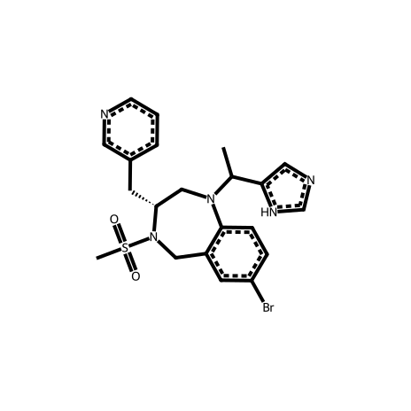 CC(c1cnc[nH]1)N1C[C@@H](Cc2cccnc2)N(S(C)(=O)=O)Cc2cc(Br)ccc21